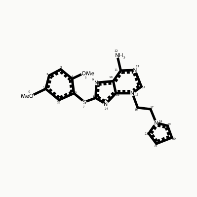 COc1ccc(OC)c(Sc2nc3c(N)ncn(CCn4cccc4)c-3n2)c1